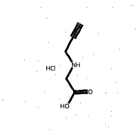 C#CCNCC(=O)O.Cl